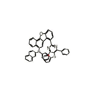 c1ccc(-c2nc(-c3cccc4oc5c6ccccc6c(N(c6ccccc6)c6ccc7ccccc7c6)cc5c34)nc3c2sc2ccccc23)cc1